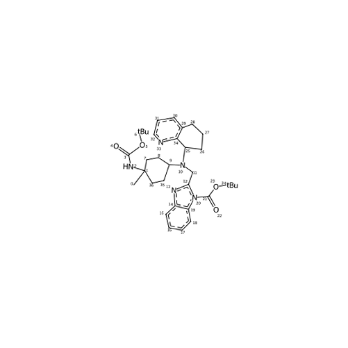 CC1(NC(=O)OC(C)(C)C)CCC(N(Cc2nc3ccccc3n2C(=O)OC(C)(C)C)C2CCCc3cccnc32)CC1